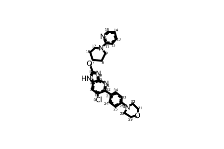 Clc1cc2[nH]c(OC3CCN(c4ccccn4)CC3)nc2nc1-c1ccc(N2CCOCC2)cc1